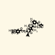 Cc1ccc(C(=O)Nc2ccon2)cc1NC(=N)c1c(C)c(C(=O)N(C(=O)OCOC(=O)c2ccc(OP(=O)(O)O)cc2)C2CC2)cn1C